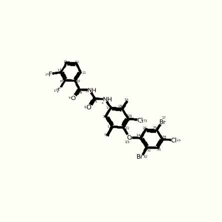 Cc1cc(NC(=O)NC(=O)c2cccc(F)c2F)c(C)c(Cl)c1Oc1cc(Br)c(Cl)cc1Br